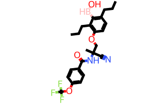 CCCc1ccc(OCC(C)(C#N)NC(=O)c2ccc(OC(F)(F)F)cc2)c(CCC)c1BO